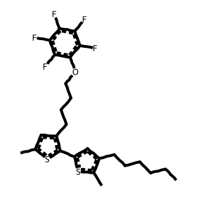 CCCCCCc1cc(-c2sc(C)cc2CCCCOc2c(F)c(F)c(F)c(F)c2F)sc1C